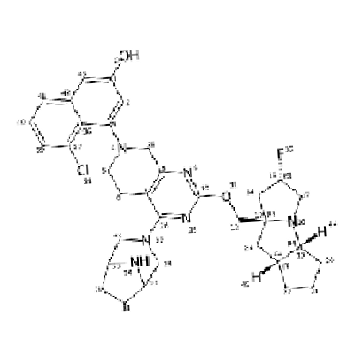 Oc1cc(N2CCc3c(nc(OC[C@@]45C[C@H](F)CN4[C@@H]4CCC[C@@H]4C5)nc3N3CC4CCC(C3)N4)C2)c2c(Cl)cccc2c1